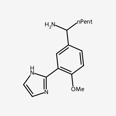 CCCCCC(N)c1ccc(OC)c(-c2ncc[nH]2)c1